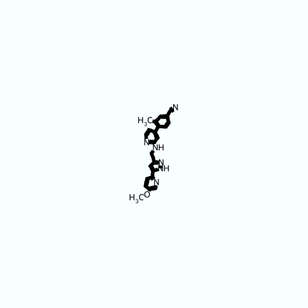 COc1ccc(-c2cc(CNc3cc(-c4ccc(C#N)cc4C)ccn3)n[nH]2)nc1